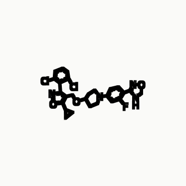 Fc1cc(N2CCC(OCc3c(-c4c(Cl)cccc4Cl)noc3C3CC3)CC2)ccc1C1=NOCN1